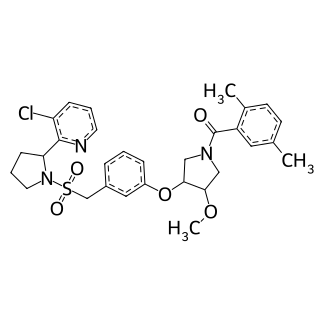 COC1CN(C(=O)c2cc(C)ccc2C)CC1Oc1cccc(CS(=O)(=O)N2CCCC2c2ncccc2Cl)c1